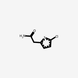 NC(=O)Cc1ccc(Cl)s1